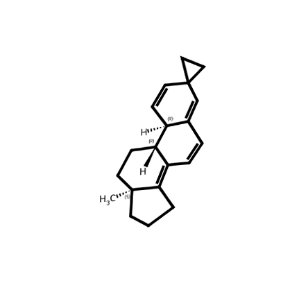 C[C@@]12CCCC1=C1C=CC3=CC4(C=C[C@@H]3[C@H]1CC2)CC4